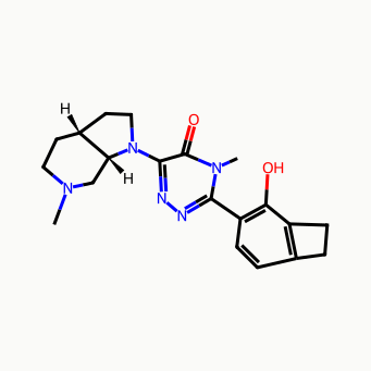 CN1CC[C@@H]2CCN(c3nnc(-c4ccc5c(c4O)CC5)n(C)c3=O)[C@@H]2C1